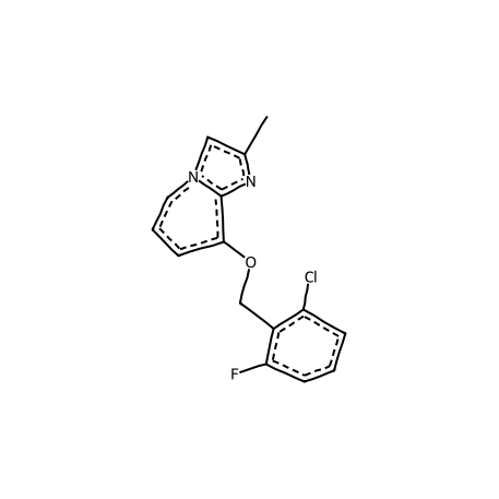 Cc1cn2cccc(OCc3c(F)cccc3Cl)c2n1